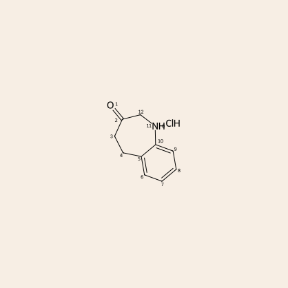 Cl.O=C1CCc2ccccc2NC1